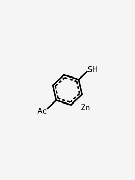 CC(=O)c1ccc(S)cc1.[Zn]